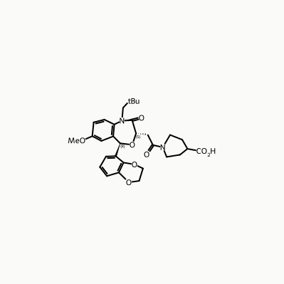 COc1ccc2c(c1)[C@H](c1cccc3c1OCCO3)O[C@@H](CC(=O)N1CCC(C(=O)O)CC1)C(=O)N2CC(C)(C)C